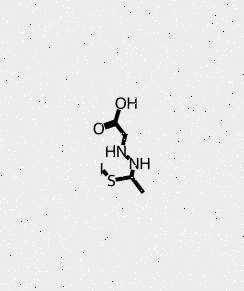 CC(NNCC(=O)O)SI